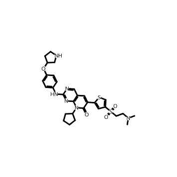 CN(C)CCS(=O)(=O)c1csc(-c2cc3cnc(Nc4ccc(OC5CCNC5)cc4)nc3n(C3CCCC3)c2=O)c1